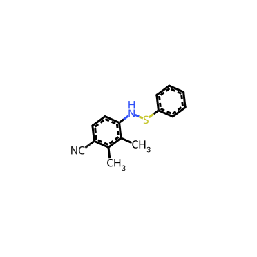 Cc1c(C#N)ccc(NSc2ccccc2)c1C